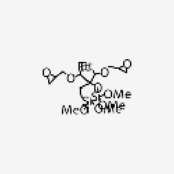 CCC(OCC1CO1)C1(C(CC)OCC2CO2)CC[Si](OC)(OC)[Si](OC)(OC)O1